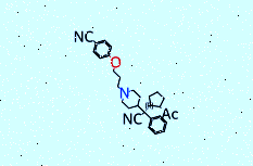 CC(=O)C1CCC[C@H]1C(C#N)(c1ccccc1)C1CCN(CCCOc2ccc(C#N)cc2)CC1